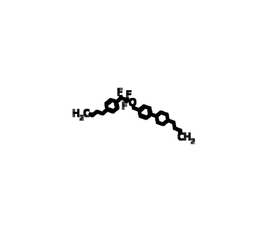 C=CCCc1ccc(C(F)C(F)(F)OCc2ccc(C3CCC(CCC=C)CC3)cc2)cc1